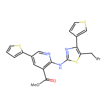 COC(=O)c1cc(-c2cccs2)cnc1Nc1nc(-c2ccsc2)c(CC(C)C)s1